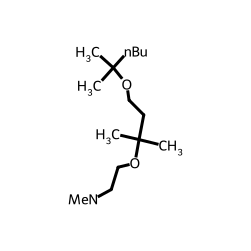 CCCCC(C)(C)OCCC(C)(C)OCCNC